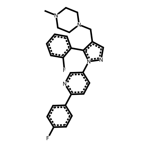 CN1CCN(Cc2cnn(-c3ccc(-c4ccc(F)cc4)nc3)c2-c2ccccc2F)CC1